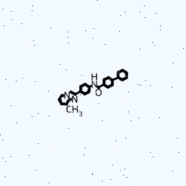 Cc1cccn2cc(-c3ccc(NC(=O)c4ccc(-c5ccccc5)cc4)cc3)nc12